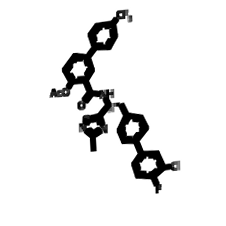 CC(=O)Oc1ccc(-c2ccc(C(F)(F)F)cc2)cc1C(=O)N[C@H](Cc1ccc(-c2ccc(F)c(Cl)c2)cc1)c1nc(C)no1